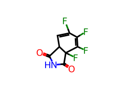 O=C1NC(=O)C2(F)C(F)=C(F)C(F)=CC12